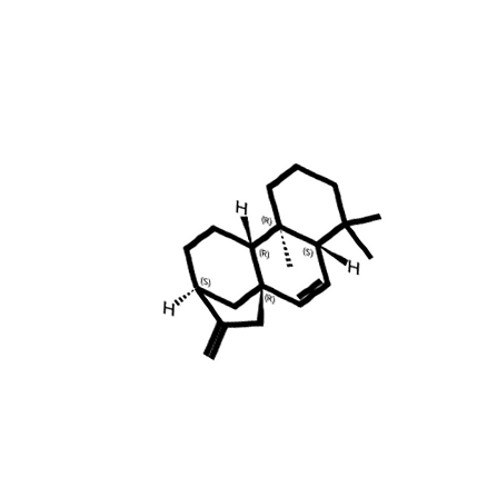 C=C1C[C@]23C=C[C@H]4C(C)(C)CCC[C@]4(C)[C@H]2CC[C@H]1C3